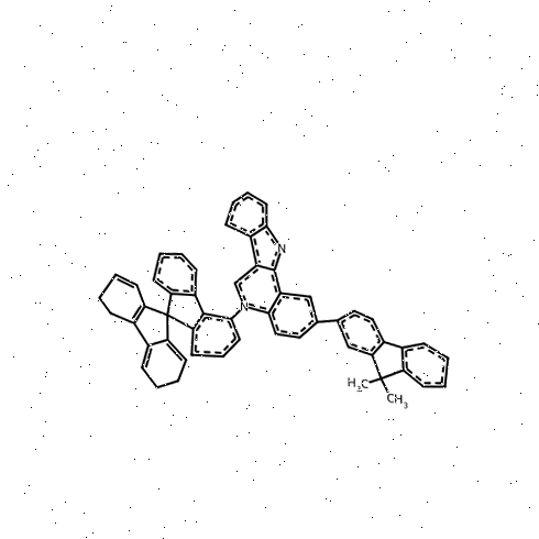 CC1(C)c2ccccc2-c2ccc(-c3ccc4c(c3)c3nc5ccccc5c-3cn4-c3cccc4c3-c3ccccc3C43C4=CCCC=C4C4=C3C=CCC4)cc21